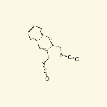 O=C=NCc1cc2ccccc2cc1CN=C=O